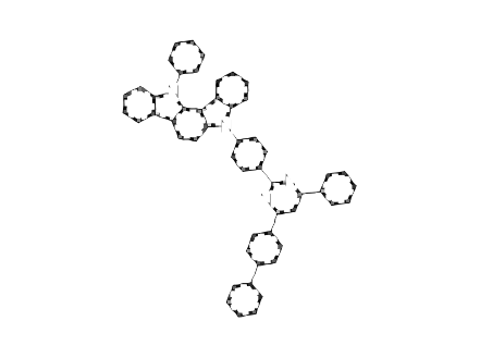 c1ccc(-c2ccc(-c3cc(-c4ccccc4)nc(-c4ccc(-n5c6ccccc6c6c5ccc5c7ccccc7n(-c7ccccc7)c56)cc4)n3)cc2)cc1